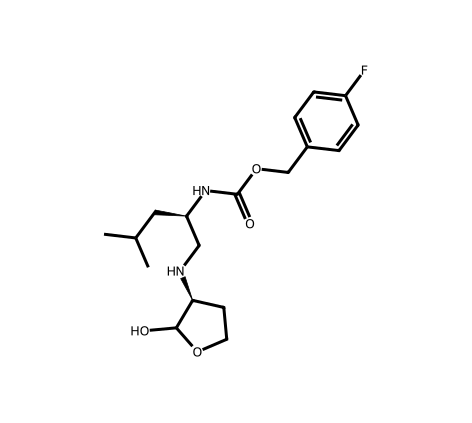 CC(C)C[C@H](CN[C@H]1CCOC1O)NC(=O)OCc1ccc(F)cc1